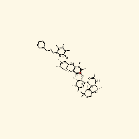 CC(=O)NC1[C@H](C)OC2COC(C)(C)O[C@H]2[C@@H]1O[C@@H]1OC(C)[C@H](C)[C@H](O[C@@H]2OC(C)[C@H](C)[C@H](C)C2O[C@@H]2OC(C)[C@H](C)[C@H](O[C@H]3O[C@@H](COCc4ccccc4)[C@@H](C)C(C)C3C)C2O)C1OC(C)=O